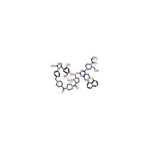 C=CC(=O)N1CCN(c2nc(OC[C@H]3CC[C@@H](C(=O)N4CCN(C(=O)C5CCN(Cc6ccc(-n7c(O)nnc7-c7cc(C(C)C)c(O)cc7O)cc6)CC5)CC4)N3C)nc3c2CCN(c2cccc4cccc(Cl)c24)C3)C[C@@H]1CC#N